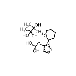 CC(C)(O)C(C)(C)O.OB(O)Oc1ccnn1C1CCCCO1